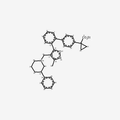 CCOC(=O)C1(c2ccc(-c3ccccc3-c3onc(C)c3CN3CCCC(c4ccccc4)C3)cc2)CC1